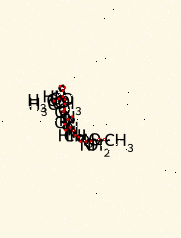 CCCCCCOC(=O)N=C(N)c1ccc(NCc2nc3cc(C(=O)N(CCC(=O)OCCOC(=O)C(Cc4ccccc4)NC(=O)OC(C)(C)C)c4ccccn4)ccc3n2C)cc1